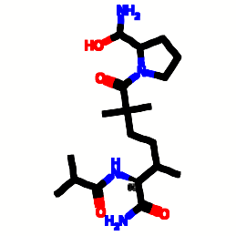 CC(C)C(=O)N[C@H](C(N)=O)C(C)CCC(C)(C)C(=O)N1CCCC1C(N)O